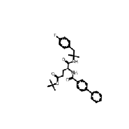 CC(C)(Cc1ccc(F)cc1)NC(=O)[C@H](CCC(=O)OC(C)(C)C)NC(=O)c1ccc(-c2ccccc2)cc1